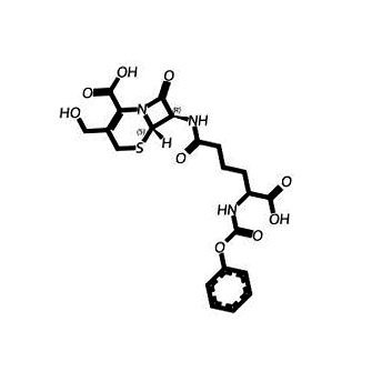 O=C(CCCC(NC(=O)Oc1ccccc1)C(=O)O)N[C@@H]1C(=O)N2C(C(=O)O)=C(CO)CS[C@@H]12